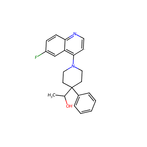 CC(O)C1(c2ccccc2)CCN(c2[c]cnc3ccc(F)cc23)CC1